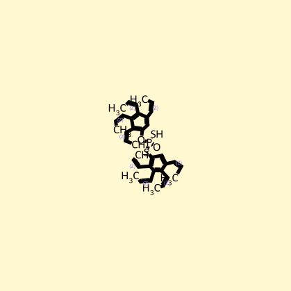 C/C=C\c1cc(OP(=O)(S)Sc2cc(/C=C\C)c(/C=C\C)c(/C=C\C)c2/C=C\C)c(/C=C\C)c(/C=C\C)c1/C=C\C